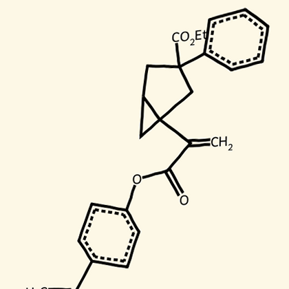 C=Cc1ccc(OC(=O)C(=C)C23CC2CC(C(=O)OCC)(c2ccccc2)C3)cc1